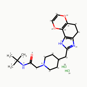 CC(C)(C)NC(=O)CN1CCC(Cc2nc3c([nH]2)C2=C(CC3)OC=CO2)CC1.Cl.Cl